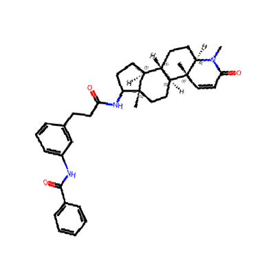 CN1C(=O)C=C[C@]2(C)[C@H]3CC[C@]4(C)C(NC(=O)CCc5cccc(NC(=O)c6ccccc6)c5)CC[C@H]4[C@@H]3CC[C@@H]12